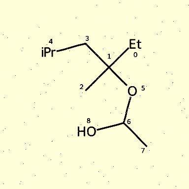 CCC(C)(CC(C)C)OC(C)O